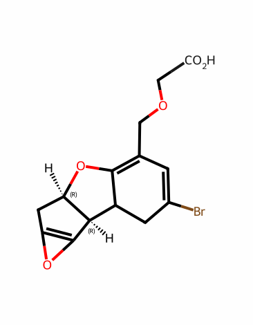 O=C(O)COCC1=C2O[C@@H]3CC4=C(O4)[C@@H]3C2CC(Br)=C1